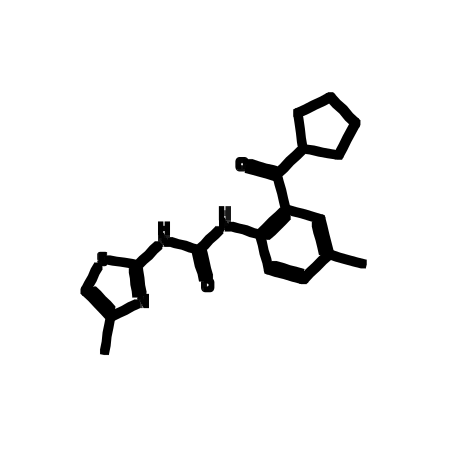 Cc1ccc(NC(=O)Nc2nc(C)cs2)c(C(=O)C2CCCC2)c1